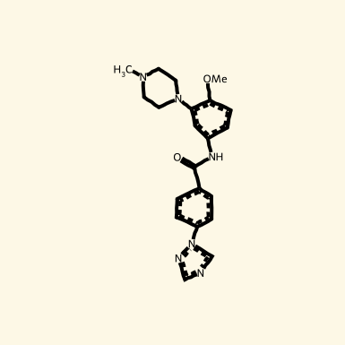 COc1ccc(NC(=O)c2ccc(-n3cncn3)cc2)cc1N1CCN(C)CC1